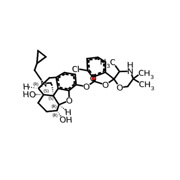 CC1NC(C)(C)COC1(OC(=O)Oc1ccc2c3c1O[C@H]1[C@H](O)CC[C@@]4(O)[C@@H](C2)N(CC2CC2)CC[C@]314)c1cccc(Cl)c1